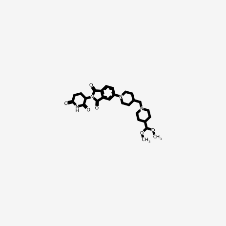 COC(OC)C1CCN(CC2CCN(c3ccc4c(c3)C(=O)N(C3CCC(=O)NC3=O)C4=O)CC2)CC1